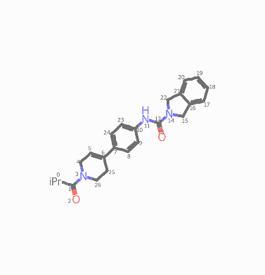 CC(C)C(=O)N1CC=C(c2ccc(NC(=O)N3Cc4ccccc4C3)cc2)CC1